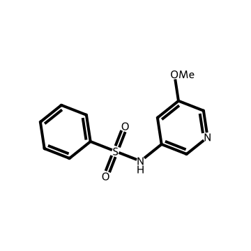 COc1cncc(NS(=O)(=O)c2ccccc2)c1